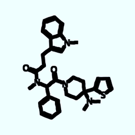 CN(C(=O)CCc1cn(C)c2ccccc12)C(C(=O)N1CCC(c2cccs2)(N(C)C)CC1)c1ccccc1